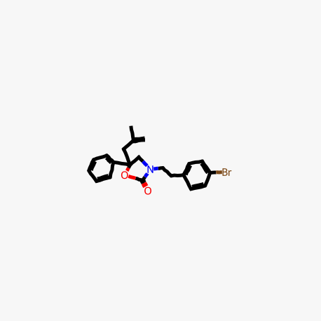 C=C(C)CC1(c2ccccc2)CN(CCc2ccc(Br)cc2)C(=O)O1